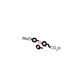 CC1CC2C=CC1C2.COc1ccc(COc2ccc(C=CC(=O)O)cc2)cc1